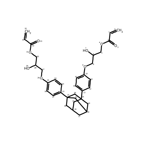 C=CC(=O)OCC(O)COc1ccc(C23CC4CC(C2)CC(c2ccc(OCC(O)COC(=O)C=C)cc2)(C4)C3)cc1